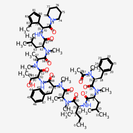 CC[C@H](C)[C@H](NC(=O)[C@H](CC(C)C)N(C)C(=O)[C@H](Cc1ccccc1)N(C)C(C)=O)C(=O)N(C)[C@@H](C)C(=O)N(C)[C@@H](Cc1ccccc1)C(=O)N[C@H](C(=O)N(C)[C@@H](C)C(=O)N(C)[C@@H](CC(C)C)C(=O)N[C@H](C(=O)N1CCCCC1)C1C=CC=C1C)[C@@H](C)O